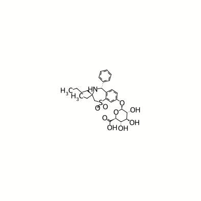 CCCC[C@]1(CC)CS(=O)(=O)c2cc(O[C@@H]3O[C@H](C(=O)O)[C@@H](O)[C@H](O)[C@H]3O)ccc2[C@@H](c2ccccc2)N1